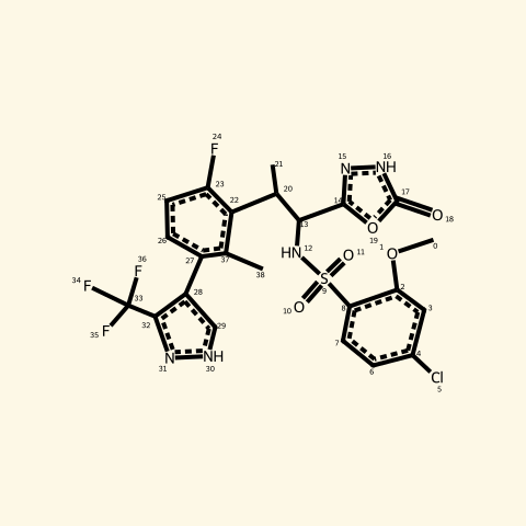 COc1cc(Cl)ccc1S(=O)(=O)NC(c1n[nH]c(=O)o1)C(C)c1c(F)ccc(-c2c[nH]nc2C(F)(F)F)c1C